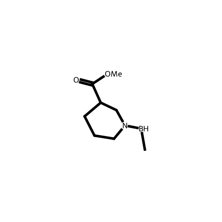 CBN1CCCC(C(=O)OC)C1